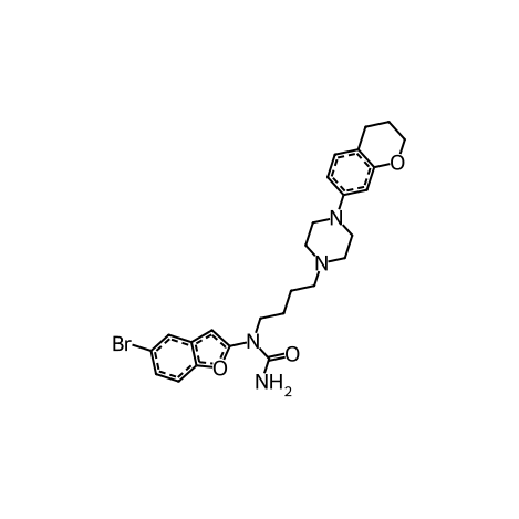 NC(=O)N(CCCCN1CCN(c2ccc3c(c2)OCCC3)CC1)c1cc2cc(Br)ccc2o1